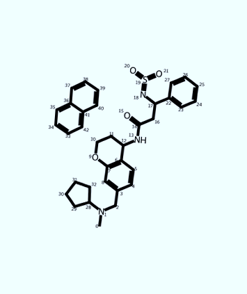 CN(Cc1ccc2c(c1)OCCC2NC(=O)CC(N=S(=O)=O)c1ccccc1)C1CCCC1.c1ccc2ccccc2c1